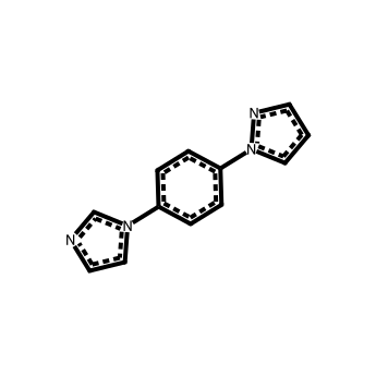 c1cnn(-c2ccc(-n3ccnc3)cc2)c1